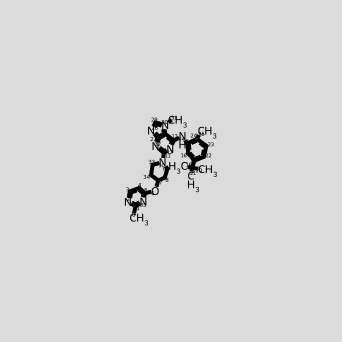 Cc1nccc(OC2CCN(c3nc(Nc4cc(C(C)(C)C)ccc4C)c4c(ncn4C)n3)CC2)n1